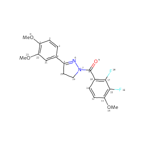 COc1ccc(C2=NN(C(=O)c3ccc(OC)c(F)c3F)CC2)cc1OC